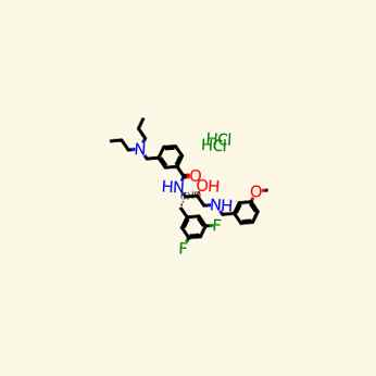 CCCN(CCC)Cc1cccc(C(=O)N[C@@H](Cc2cc(F)cc(F)c2)[C@@H](O)CNCc2cccc(OC)c2)c1.Cl.Cl